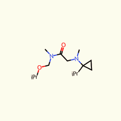 CC(C)OCN(C)C(=O)CN(C)C1(C(C)C)CC1